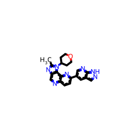 Cc1nc2cnc3ccc(-c4cnc5[nH]ncc5c4)nc3c2n1C1CCOCC1